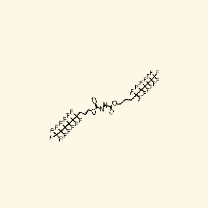 O=C(N=NC(=O)OCCCC(F)(F)C(F)(F)C(F)(F)C(F)(F)C(F)(F)C(F)(F)F)OCCCC(F)(F)C(F)(F)C(F)(F)C(F)(F)C(F)(F)C(F)(F)F